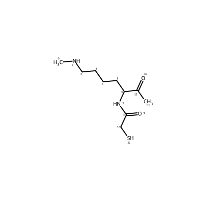 CNCCCCC(NC(=O)CS)C(C)=O